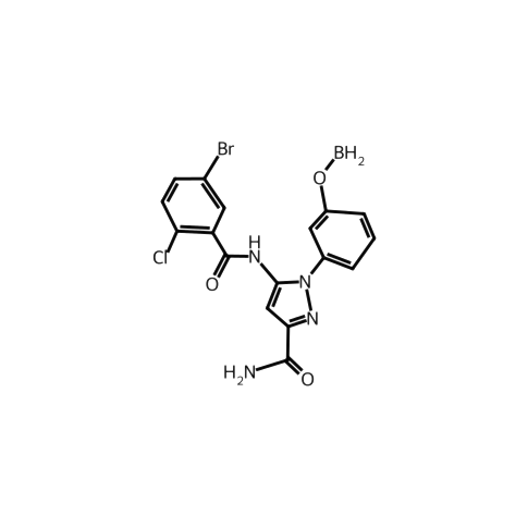 BOc1cccc(-n2nc(C(N)=O)cc2NC(=O)c2cc(Br)ccc2Cl)c1